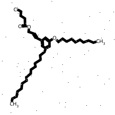 CCCCCCCCCCCCCCCc1cc(C#CCOC(=O)CCCCl)cc(OCCCCCCCCCC)c1